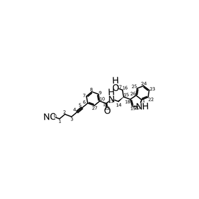 N#CCCCC#Cc1cccc(C(=O)NC[C@@H](CO)c2c[nH]c3ccccc23)c1